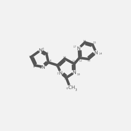 Cc1nc(-c2cnccn2)cc(-c2cnccn2)n1